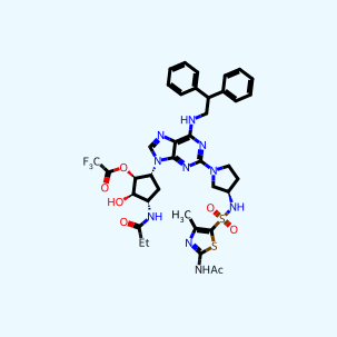 CCC(=O)N[C@H]1C[C@@H](n2cnc3c(NCC(c4ccccc4)c4ccccc4)nc(N4CC[C@@H](NS(=O)(=O)c5sc(NC(C)=O)nc5C)C4)nc32)[C@H](OC(=O)C(F)(F)F)[C@@H]1O